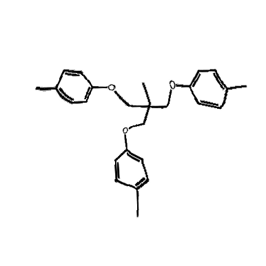 Cc1ccc(OCC(C)(COc2ccc(C)cc2)COc2ccc(C)cc2)cc1